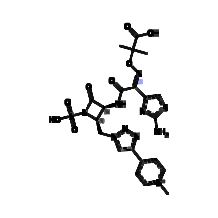 C[n+]1ccc(-c2cn(C[C@@H]3[C@H](NC(=O)/C(=N\OC(C)(C)C(=O)O)c4csc(N)n4)C(=O)N3S(=O)(=O)O)nn2)cc1